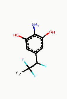 Nc1c(O)cc(C(F)C(F)(F)C(F)(F)F)cc1O